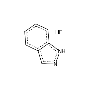 F.c1ccc2[nH]ncc2c1